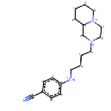 N#Cc1ccc(NCCCCN2CCN3CCCCC3C2)cc1